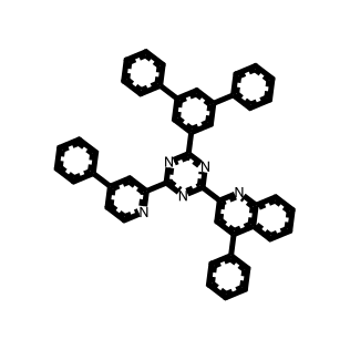 c1ccc(-c2cc(-c3ccccc3)cc(-c3nc(-c4cc(-c5ccccc5)ccn4)nc(-c4cc(-c5ccccc5)c5ccccc5n4)n3)c2)cc1